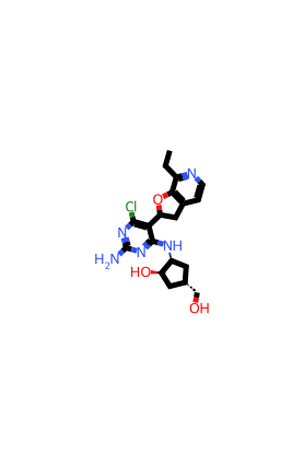 CCc1nccc2c1OC(c1c(Cl)nc(N)nc1N[C@@H]1C[C@H](CO)C[C@H]1O)C2